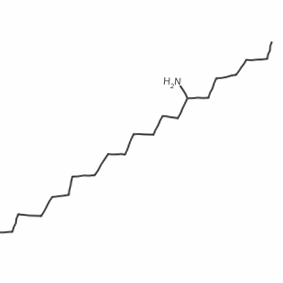 CCCCCCCCCCCCCCCC(N)CCCCCC